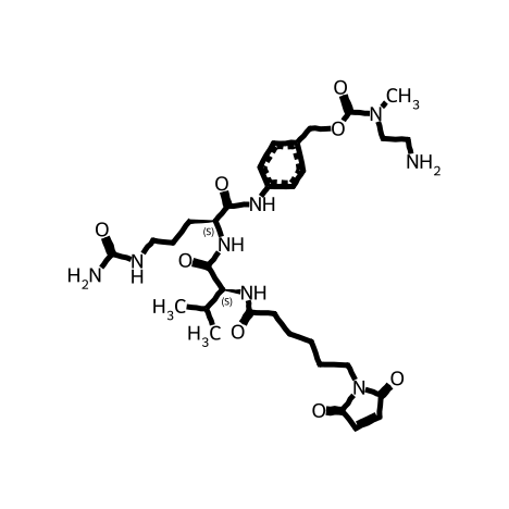 CC(C)[C@H](NC(=O)CCCCCN1C(=O)C=CC1=O)C(=O)N[C@@H](CCCNC(N)=O)C(=O)Nc1ccc(COC(=O)N(C)CCN)cc1